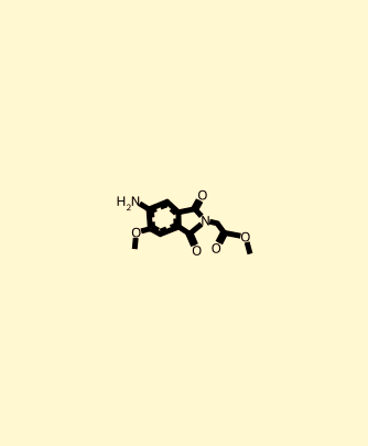 COC(=O)CN1C(=O)c2cc(N)c(OC)cc2C1=O